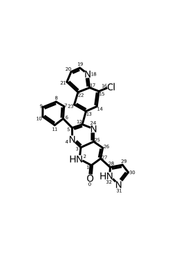 O=c1[nH]c2nc(-c3ccccc3)c(-c3cc(Cl)c4ncccc4c3)nc2cc1-c1ccn[nH]1